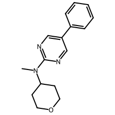 CN(c1ncc(-c2ccccc2)cn1)C1CCOCC1